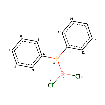 ClB(Cl)P(c1ccccc1)c1ccccc1